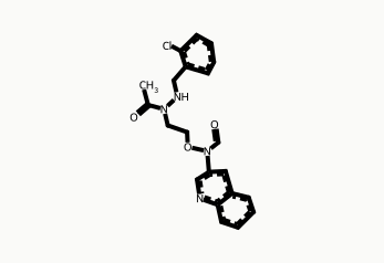 CC(=O)N(CCON(C=O)c1cnc2ccccc2c1)NCc1ccccc1Cl